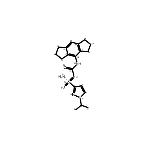 CC(C)n1ccc([S@@](N)(=O)=NC(=O)Nc2c3c(cc4c2CCC4)CCC3)n1